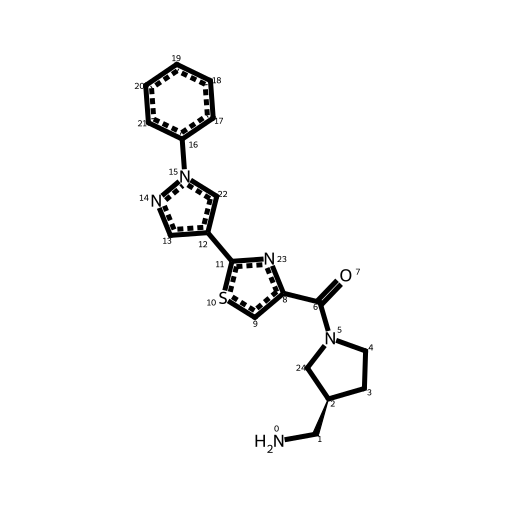 NC[C@@H]1CCN(C(=O)c2csc(-c3cnn(-c4ccccc4)c3)n2)C1